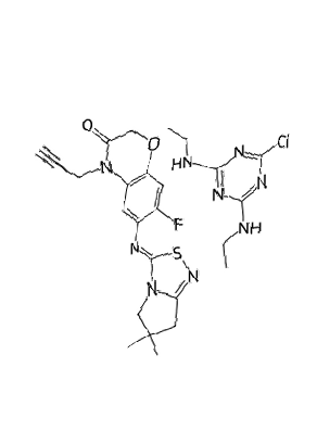 C#CCN1C(=O)COc2cc(F)c(/N=c3\snc4n3CC(C)(C)C4)cc21.CCNc1nc(Cl)nc(NCC)n1